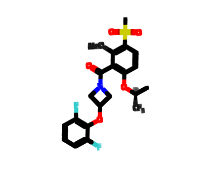 COc1c(S(C)(=O)=O)ccc(O[C@@H](C)C(F)(F)F)c1C(=O)N1CC(Oc2c(F)cccc2F)C1